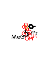 COC1OC(COS(=O)(=O)c2ccc(C)cc2)C(OC(C)C)C(O)C1O